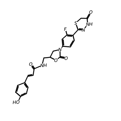 O=C(C=Cc1ccc(O)cc1)NCC1CN(c2ccc(C3=NNC(=O)CS3)c(F)c2)C(=O)O1